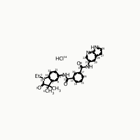 CCN1C(=O)C(C)(C)c2cc(NC(=O)c3cccc(C(=O)Nc4cnc5[nH]ccc5c4)c3)ccc21.Cl